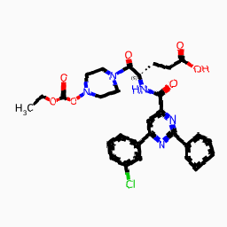 CCOC(=O)ON1CCN(C(=O)[C@H](CCC(=O)O)NC(=O)c2cc(-c3cccc(Cl)c3)nc(-c3ccccc3)n2)CC1